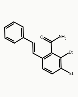 CCc1ccc(C=Cc2ccccc2)c(C(N)=O)c1CC